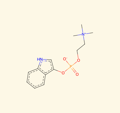 C[N+](C)(C)CCOP(=O)([O-])Oc1c[nH]c2ccccc12